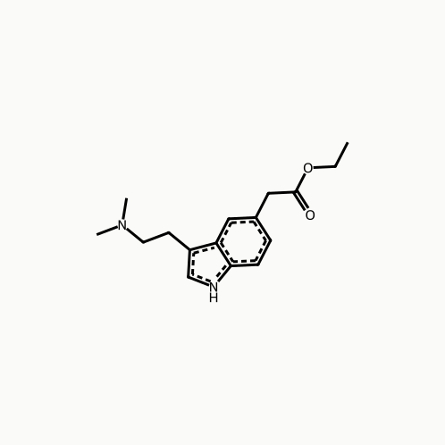 CCOC(=O)Cc1ccc2[nH]cc(CCN(C)C)c2c1